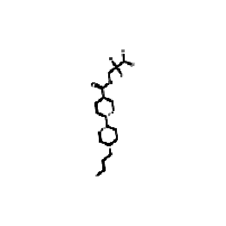 CCCC[C@H]1CC[C@H]([C@H]2CC[C@H](C(=O)OCC(F)(F)C(F)F)CC2)CC1